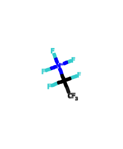 FC(F)(F)C(F)(F)[N+](F)(F)F